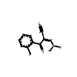 Cc1ccccc1C(=O)/C(C#N)=C\N(C)C